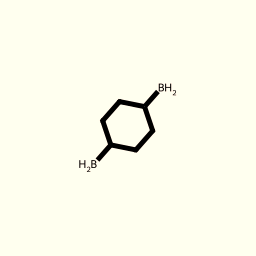 BC1CCC(B)CC1